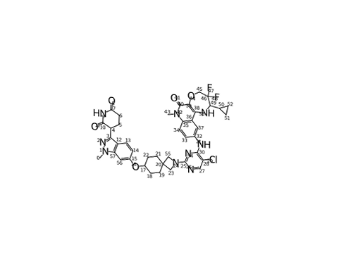 Cn1nc(C2CCC(=O)NC2=O)c2ccc(OC3CCC4(CC3)CN(c3ncc(Cl)c(Nc5ccc6c(c5)c5c(c(=O)n6C)OCC(F)(F)C(C6CC6)N5)n3)C4)cc21